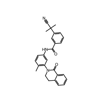 Cc1ccc(NC(=O)c2cccc(C(C)(C)C#N)c2)cc1N1CCc2ccccc2C1=O